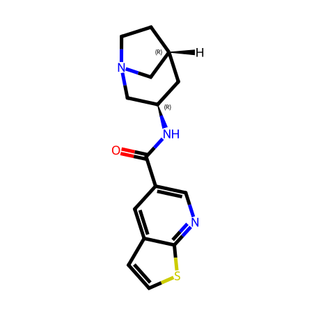 O=C(N[C@@H]1C[C@H]2CCN(C2)C1)c1cnc2sccc2c1